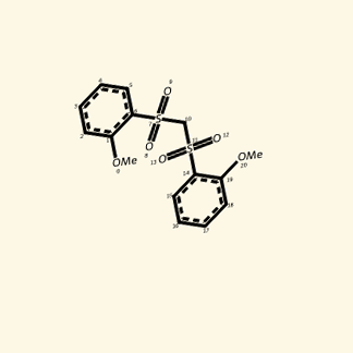 COc1ccccc1S(=O)(=O)CS(=O)(=O)c1ccccc1OC